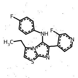 CCc1csc2nc(-c3ccncc3F)c(Nc3ccc(F)cc3)n12